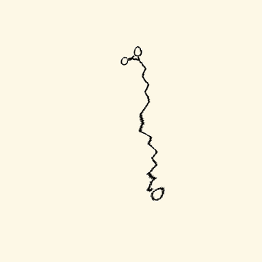 O=CCCCCCCCCCCCCCCCC1OC1=O